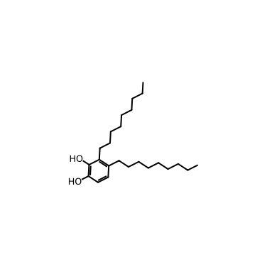 CCCCCCCCCc1ccc(O)c(O)c1CCCCCCCCC